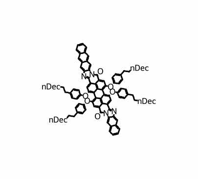 CCCCCCCCCCCCc1ccc(Oc2cc3c(=O)n4c5cc6ccccc6cc5nc4c4cc(Oc5ccc(CCCCCCCCCCCC)cc5)c5c6c(Oc7ccc(CCCCCCCCCCCC)cc7)cc7c(=O)n8c9cc%10cc%11ccccc%11cc%10cc9nc8c8cc(Oc9ccc(CCCCCCCCCCCC)cc9)c(c2c5c34)c6c78)cc1